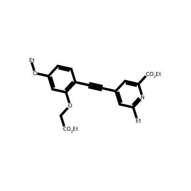 CCOC(=O)COc1cc(OCC)ccc1C#Cc1cc(CC)nc(C(=O)OCC)c1